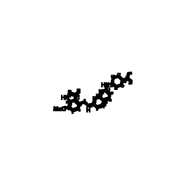 COc1ccc(CNc2cnc3ccc(N[C@H]4CC[C@H](N(C)C)CC4)nc3n2)c2c(C)c[nH]c12